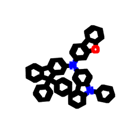 C1=CC2Oc3cc(N(c4ccc5c(c4)C(c4ccccc4)(c4ccccc4)c4ccccc4-5)c4ccc5c(c4)c4ccccc4n5-c4ccccc4)ccc3C2C=C1